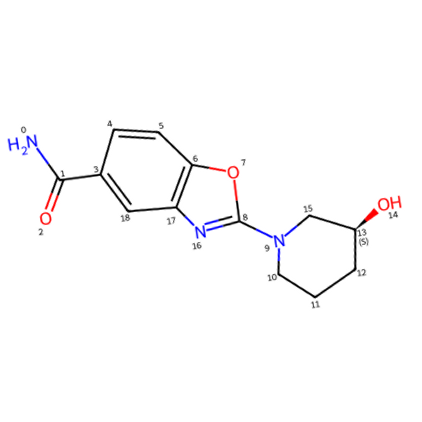 NC(=O)c1ccc2oc(N3CCC[C@H](O)C3)nc2c1